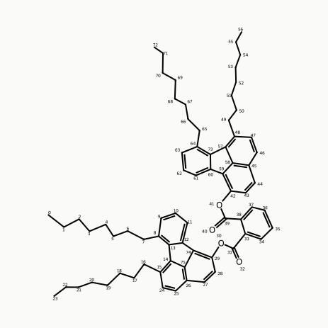 CCCCCCCCc1cccc2c1-c1c(CCCCCCCC)ccc3ccc(OC(=O)c4ccccc4C(=O)Oc4ccc5ccc(CCCCCCCC)c6c5c4-c4cccc(CCCCCCCC)c4-6)c-2c13